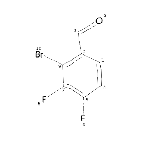 O=Cc1ccc(F)c(F)c1Br